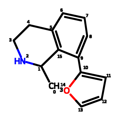 CC1NCCc2cccc(-c3ccco3)c21